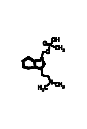 CN(C)CCc1cn(COP(C)(=O)O)c2ccccc12